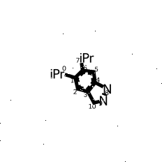 CC(C)c1cc2c(cc1C(C)C)N=NC2